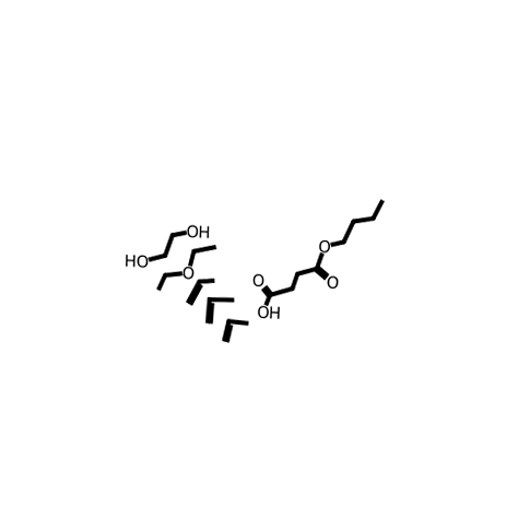 C=CC.C=CC.C=CC.CCCCOC(=O)CCC(=O)O.CCOCC.OCCO